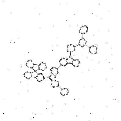 c1ccc(-c2cc(-c3ccccc3)cc(-c3cccc(-n4c5ccccc5c5cc(-c6ccc7c(c6)c6cc(-c8ccccc8)ccc6n7-c6ccc7c(c6)C6(c8ccccc8-c8ccccc86)c6ccccc6-7)ccc54)c3)c2)cc1